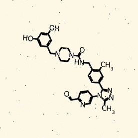 Cc1cc(-c2nnc(C)n2-c2ccc(C=O)nc2)ccc1CNC(=O)N1CCN(Cc2cc(O)cc(O)c2)CC1